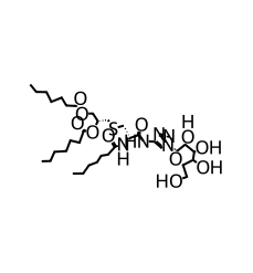 CCCCCCC(=O)N[C@H](CSC[C@@H](COC(=O)CCCCCC)OC(=O)CCCCCC)C(=O)Nc1cn([C@H]2OC(CO)C(O)C(O)C2O)nn1